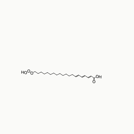 O=C(O)C=CC=CC=CCCCCCCCCCCCCCOOO